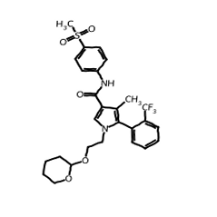 Cc1c(C(=O)Nc2ccc(S(C)(=O)=O)cc2)cn(CCOC2CCCCO2)c1-c1ccccc1C(F)(F)F